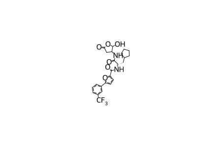 O=C1C[C@H](NC(=O)[C@H](CC2CCCC2)NC(=O)c2ccc(-c3cccc(C(F)(F)F)c3)o2)C(O)O1